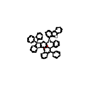 c1ccc(-c2c(-c3ccccc3N(c3ccc4c(c3)C(c3ccccc3)(c3ccccc3)c3ccccc3-4)c3cccc4c3oc3ccccc34)ccc3ccccc23)cc1